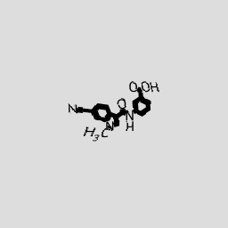 Cn1cc(C(=O)Nc2cccc(C(=O)O)c2)c2ccc(C#N)cc21